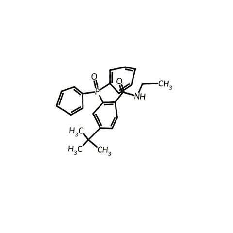 CCNC(=O)c1ccc(C(C)(C)C)cc1P(=O)(c1ccccc1)c1ccccc1